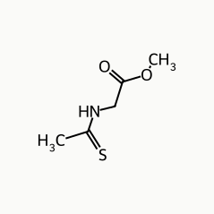 COC(=O)CNC(C)=S